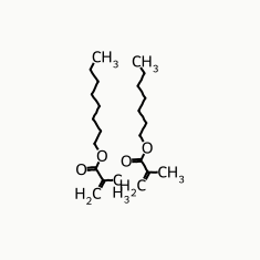 C=C(C)C(=O)OCCCCCCC.C=C(C)C(=O)OCCCCCCCC